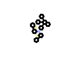 c1ccc(-c2cc3ccccc3c(-c3ccc(N(c4cccc5c4sc4ccccc45)c4cccc5c4sc4ccccc45)cc3)c2-c2ccccc2)cc1